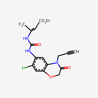 C#CCN1C(=O)COc2cc(F)c(NC(=O)NC(=CC(=O)OCC)C(F)(F)F)cc21